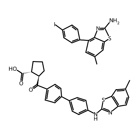 Cc1cc(-c2ccc(I)cc2)c2nc(N)sc2c1.Cc1ccc2nc(Nc3ccc(-c4ccc(C(=O)[C@@H]5CCC[C@H]5C(=O)O)cc4)cc3)sc2c1